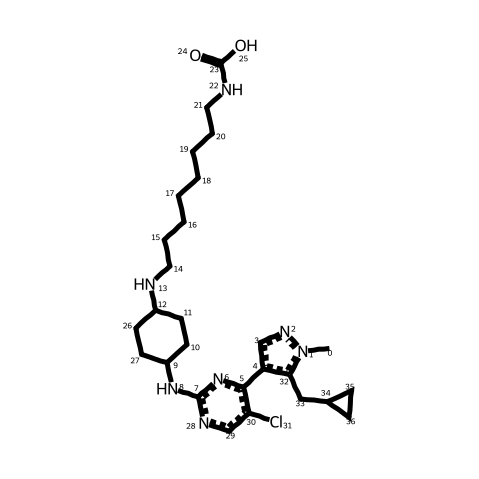 Cn1ncc(-c2nc(NC3CCC(NCCCCCCCCNC(=O)O)CC3)ncc2Cl)c1CC1CC1